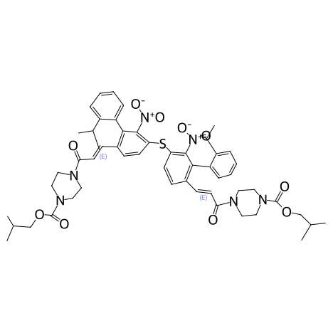 CC(C)COC(=O)N1CCN(C(=O)/C=C/c2ccc(Sc3ccc(/C=C/C(=O)N4CCN(C(=O)OCC(C)C)CC4)c(-c4ccccc4C(C)C)c3[N+](=O)[O-])c([N+](=O)[O-])c2-c2ccccc2C(C)C)CC1